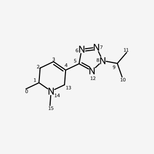 CC1CC=C(c2nnn(C(C)C)n2)CN1C